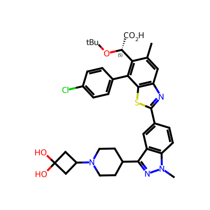 Cc1cc2nc(-c3ccc4c(c3)c(C3CCN(C5CC(O)(O)C5)CC3)nn4C)sc2c(-c2ccc(Cl)cc2)c1[C@H](OC(C)(C)C)C(=O)O